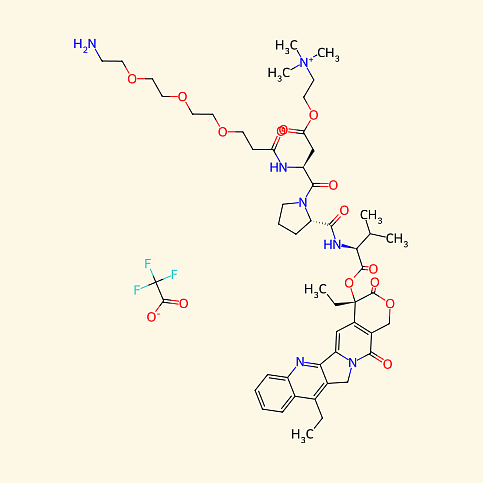 CCc1c2c(nc3ccccc13)-c1cc3c(c(=O)n1C2)COC(=O)[C@@]3(CC)OC(=O)[C@@H](NC(=O)[C@@H]1CCCN1C(=O)[C@H](CC(=O)OCC[N+](C)(C)C)NC(=O)CCOCCOCCOCCN)C(C)C.O=C([O-])C(F)(F)F